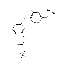 CN(c1ccc(Nc2cccc(NC(=O)OC(C)(C)C)c2)c(N)c1)S(C)(=O)=O